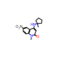 Cn1c(=O)cc(NC2(C)CCCC2)c2cc([N+](=O)[O-])ccc21